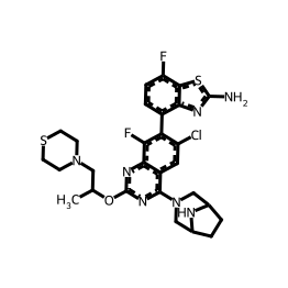 CC(CN1CCSCC1)Oc1nc(N2CC3CCC(C2)N3)c2cc(Cl)c(-c3ccc(F)c4sc(N)nc34)c(F)c2n1